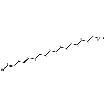 CCC=CCC=CCCCCCCCCCCCC[C]=O